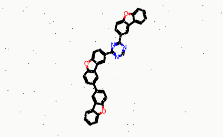 c1ccc2c(c1)oc1ccc(-c3ccc4oc5ccc(-c6ncnc(-c7ccc8oc9ccccc9c8c7)n6)cc5c4c3)cc12